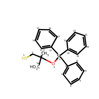 CC(CS)(O[Si](c1ccccc1)(c1ccccc1)c1ccccc1)C(=O)O